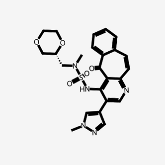 CN(C[C@@H]1COCCO1)S(=O)(=O)Nc1c(-c2cnn(C)c2)cnc2ccc3ccccc3c(=O)c12